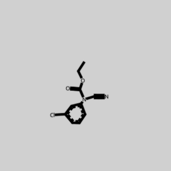 CCOC(=O)N(C#N)c1cccc(Cl)c1